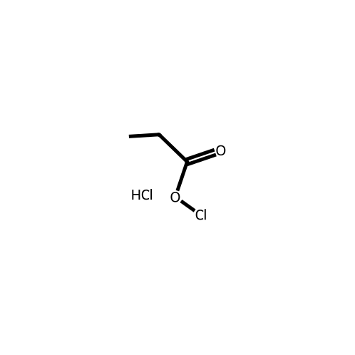 CCC(=O)OCl.Cl